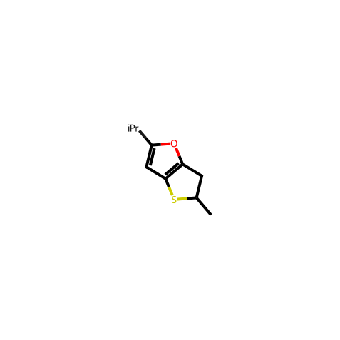 CC1Cc2oc(C(C)C)cc2S1